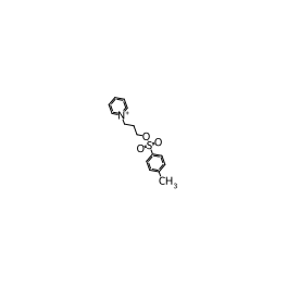 Cc1ccc(S(=O)(=O)OCCC[n+]2ccccc2)cc1